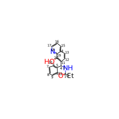 CCC(=O)NC(c1ccccc1)c1ccc2cccnc2c1O